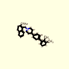 COc1ccc2ccccc2c1CN1CCC(c2ccc(-c3cccc(C)c3C)cc2)CC1